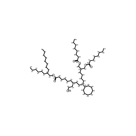 CCCCCCCCC(CCCCCC)COC(=O)CCCCCN(CCO)CCN(CCCCC(COC(=O)CCCCCCC)COC(=O)CCCCCCC)C1CCCCCCC1